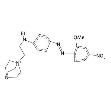 CCN(CC[N+]12CCN(CC1)CC2)c1ccc(N=Nc2ccc([N+](=O)[O-])cc2OC)cc1